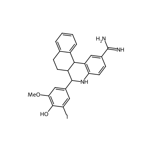 COc1cc(C2Nc3ccc(C(=N)N)cc3C3c4ccccc4CCC23)cc(I)c1O